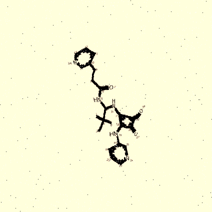 CC(C)(C)C(NC(=O)CCc1cccnc1)Nc1c(Nc2cccnc2)c(=O)c1=O